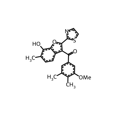 COc1cc(C(=O)c2c(-c3nccs3)oc3c(O)c(C)ccc23)cc(C)c1C